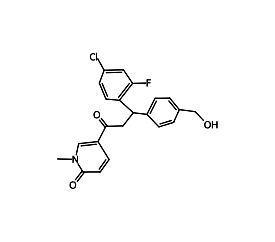 Cn1cc(C(=O)CC(c2ccc(CO)cc2)c2ccc(Cl)cc2F)ccc1=O